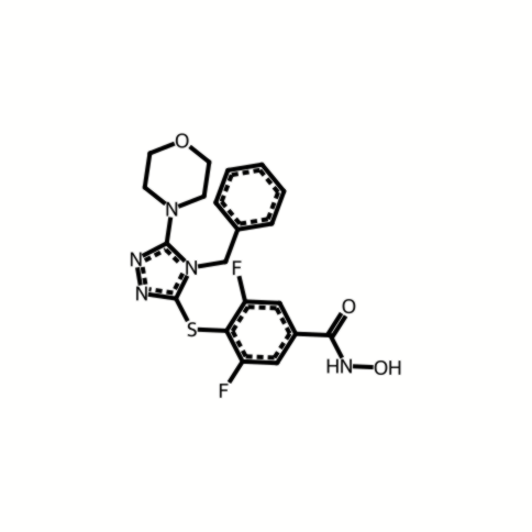 O=C(NO)c1cc(F)c(Sc2nnc(N3CCOCC3)n2Cc2ccccc2)c(F)c1